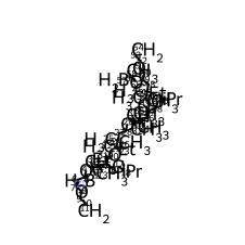 BCC(C)(OC/C=C\OCC=C)C(C)(CC)C(COC(C)C)COC(C)(CC)C(C)(C)CCOC(C)(C)C(C)(C)CC(COC(C)C)OC(C)(C)C(C)(CC)CC(COCC=C)OC(B)C